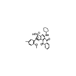 COc1ccc(C)cc1N=Nc1c(S(=O)(=O)O)cc(NC2CCCCC2)c2c1C(=O)c1ccccc1C2=O